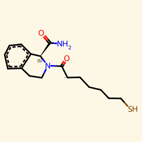 NC(=O)[C@@H]1c2ccccc2CCN1C(=O)[CH]CCCCCS